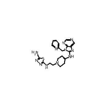 Nc1nnc(NCCN2CCC(Nc3nc4cncnc4n3Cc3ccccn3)CC2)s1